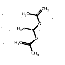 C=C(C)OC([SiH3])OC(=C)C